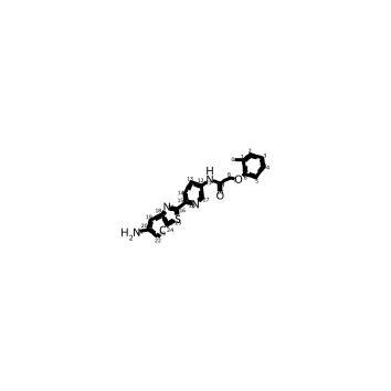 Cc1ccccc1OCC(=O)Nc1ccc(-c2nc3cc(N)ccc3s2)nc1